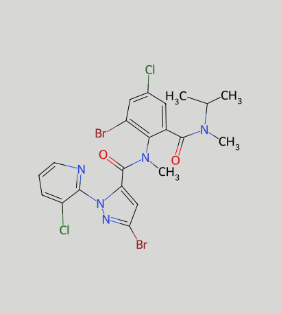 CC(C)N(C)C(=O)c1cc(Cl)cc(Br)c1N(C)C(=O)c1cc(Br)nn1-c1ncccc1Cl